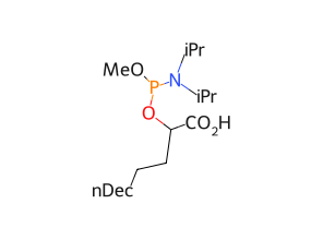 CCCCCCCCCCCCC(OP(OC)N(C(C)C)C(C)C)C(=O)O